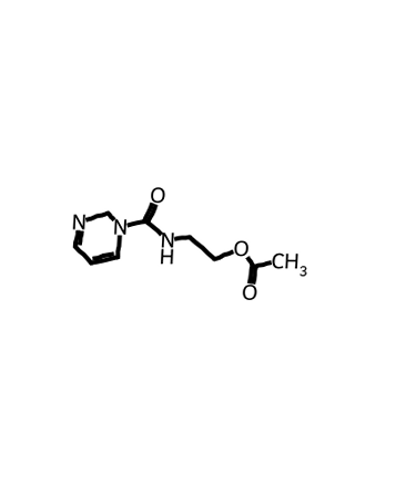 CC(=O)OCCNC(=O)N1C=CC=NC1